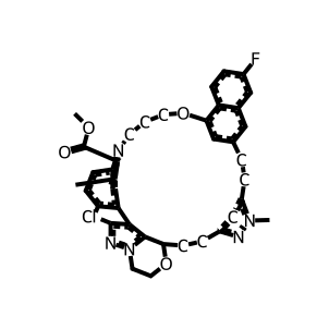 COC(=O)c1c(C)c2c3c(Cl)ccc2n1CCCOc1cc(cc2cc(F)ccc12)CCc1cc(nn1C)CCC1OCCn2nc(C)c-3c21